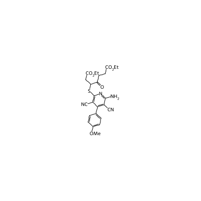 CCOC(=O)CCC(=O)C(CC(=O)OCC)Sc1nc(N)c(C#N)c(-c2ccc(OC)cc2)c1C#N